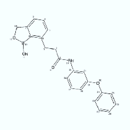 O=C(CCc1cccc2c1B(O)OC2)Nc1cccc(Oc2ccccc2)c1